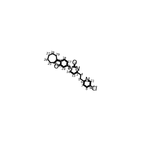 O=c1nc(CCc2ccc(Cl)cn2)ccn1-c1ccc2c3c(oc2c1)CCCCC3